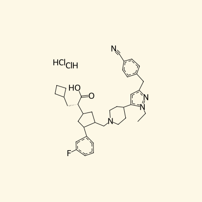 CCn1nc(Cc2ccc(C#N)cc2)cc1C1CCN(CC2CC([C@H](CC3CCC3)C(=O)O)CC2c2cccc(F)c2)CC1.Cl.Cl